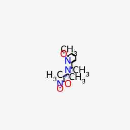 COc1cccc(/C(C)=N/C(C)=C(\C)C(=O)N=O)n1